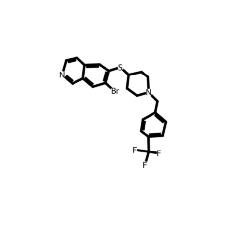 FC(F)(F)c1ccc(CN2CCC(Sc3cc4ccncc4cc3Br)CC2)cc1